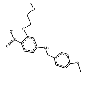 COCCOc1cc(NCc2ccc(OC)cc2)ccc1[N+](=O)[O-]